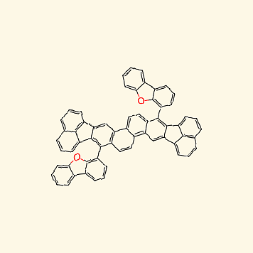 c1cc2c3c(cccc3c1)-c1c-2cc2c(ccc3c4cc5c(c(-c6cccc7c6oc6ccccc67)c4ccc23)-c2cccc3cccc-5c23)c1-c1cccc2c1oc1ccccc12